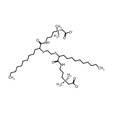 CCCCCCCCCCC(SCCSC(CCCCCCCCCC)C(=O)NCCC[N+](C)(C)CC(=O)[O-])C(=O)NCCC[N+](C)(C)CC(=O)[O-]